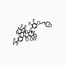 Cc1c(-c2cc(C(F)(F)F)ccc2NC(=O)C2=C(O)C3(CCC3)N(C)N(Cc3ccc(OCCN4CCOCC4)c(F)c3F)C2=O)ncnc1C(F)(F)F